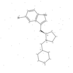 Brc1ccc2[nH]cc(C[C@H]3CCCN3CC3CCOCC3)c2c1